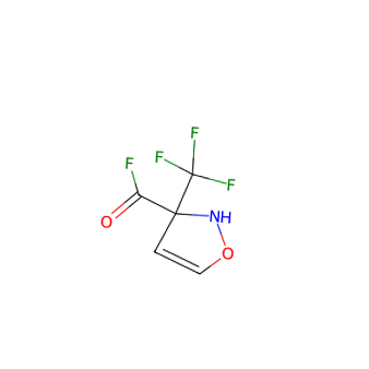 O=C(F)C1(C(F)(F)F)C=CON1